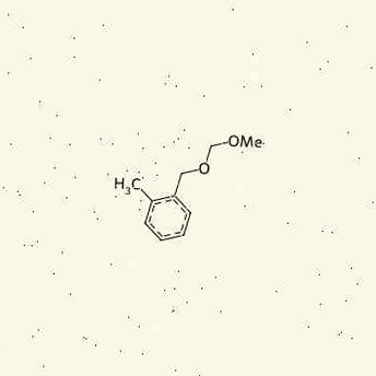 COCOCc1ccccc1C